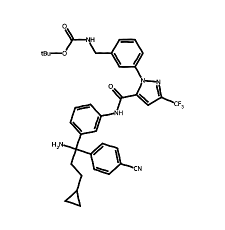 CC(C)(C)OC(=O)NCc1cccc(-n2nc(C(F)(F)F)cc2C(=O)Nc2cccc(C(N)(CCC3CC3)c3ccc(C#N)cc3)c2)c1